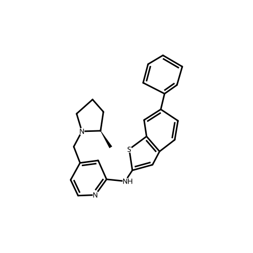 C[C@@H]1CCCN1Cc1ccnc(Nc2cc3ccc(-c4ccccc4)cc3s2)c1